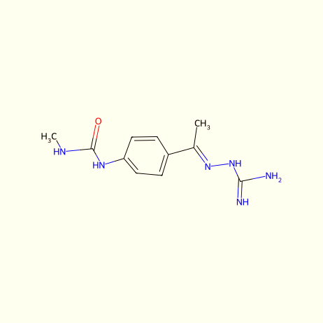 CNC(=O)Nc1ccc(/C(C)=N/NC(=N)N)cc1